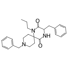 CCCN1C(=O)C(Cc2ccccc2)NC(=O)C12CCN(Cc1ccccc1)CC2